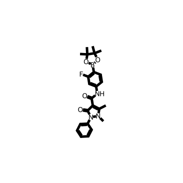 Cc1c(C(=O)Nc2ccc(B3OC(C)(C)C(C)(C)O3)c(F)c2)c(=O)n(-c2ccccc2)n1C